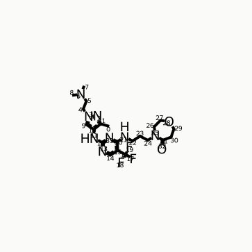 Cc1nn(CCN(C)C)cc1Nc1ncc(C(F)(F)F)c(NCCCN2CCOCCC2=O)n1